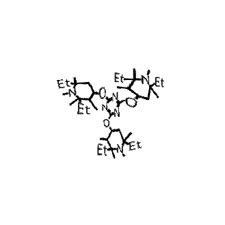 CCC1(C)CC(Oc2nc(OC3CC(C)(CC)N(C)C(C)(CC)C3C)nc(OC3CC(C)(CC)N(C)C(C)(CC)C3C)n2)C(C)C(C)(CC)N1C